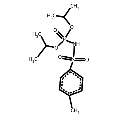 Cc1ccc(S(=O)(=O)NP(=O)(OC(C)C)OC(C)C)cc1